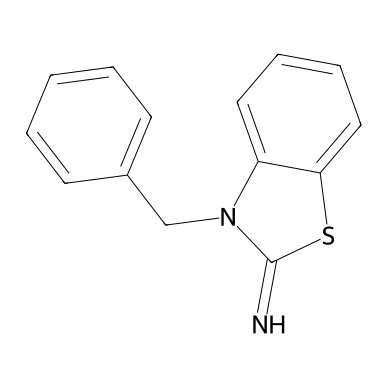 N=c1sc2ccccc2n1Cc1ccccc1